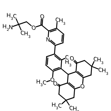 COc1ccc(-c2ccc(C)c(C(=O)OCC(C)(C)N)n2)c(C)c1C1C2=C(CC(C)(C)CC2=O)OC2=C1C(=O)CC(C)(C)C2